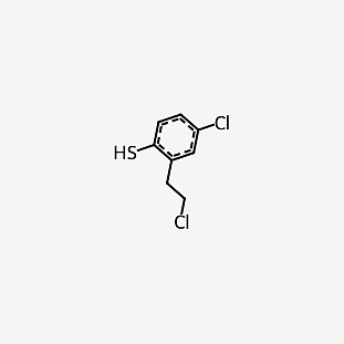 Sc1ccc(Cl)cc1CCCl